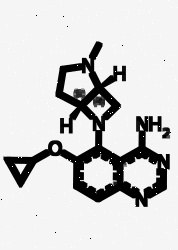 CN1CC[C@@H]2[C@H]1CN2c1c(OC2CC2)ccc2ncnc(N)c12